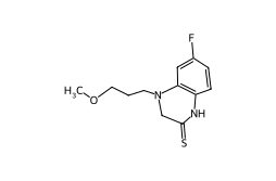 COCCCN1CC(=S)Nc2ccc(F)cc21